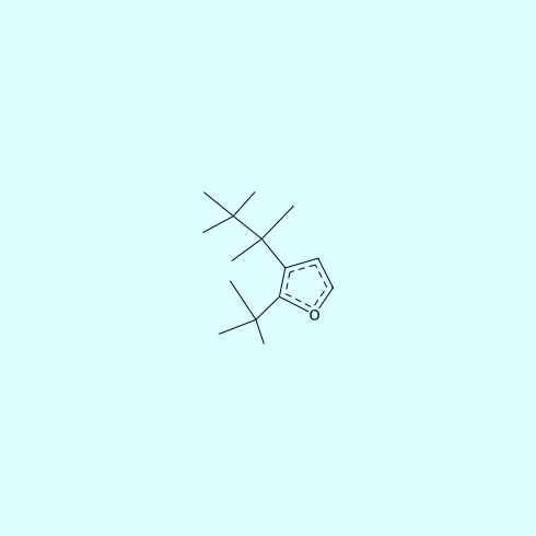 CC(C)(C)c1occc1C(C)(C)C(C)(C)C